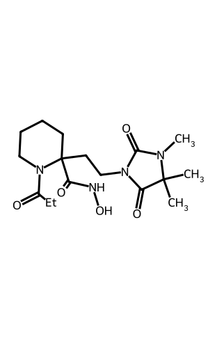 CCC(=O)N1CCCCC1(CCN1C(=O)N(C)C(C)(C)C1=O)C(=O)NO